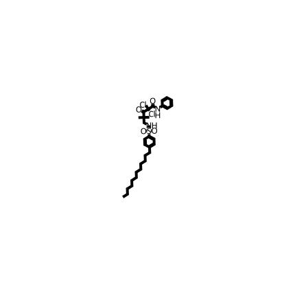 CCCCCCCCCCCCc1ccc(S(=O)(=O)NCC(C)(C)C(=O)C(Cl)(Cl)C(=O)Nc2ccccc2)cc1